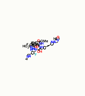 COC(=O)N[C@H](C(=O)N[C@@H](Cc1ccc(C#Cc2ccc(N3CCN4CCOC[C@H]4C3)nc2)cc1)[C@@H](O)CN(Cc1c(F)cc(-c2ccn(C3CC3)n2)cc1F)NC(=O)[C@@H](NC(=O)O)C(C)(C)C(F)(F)F)C(C)(C)C(F)(F)F